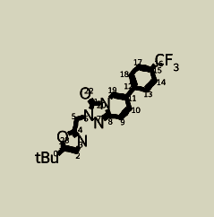 CC(C)(C)c1cnc(Cn2nc3ccc(-c4ccc(C(F)(F)F)cc4)cn3c2=O)o1